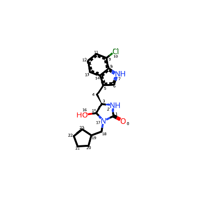 O=C1N[C@H](Cc2c[nH]c3c(Cl)cccc23)C(O)N1CC1CCCC1